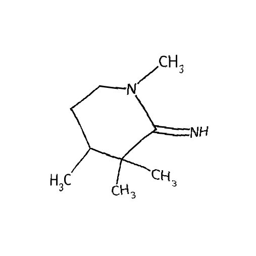 CC1CCN(C)C(=N)C1(C)C